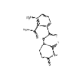 NC(=O)c1c(N)cccc1C(=O)NC1CCC(=O)NC1=O